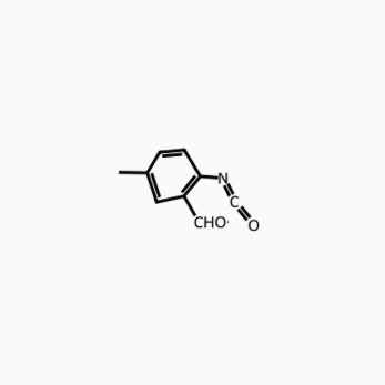 Cc1ccc(N=C=O)c([C]=O)c1